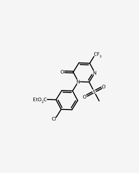 CCOC(=O)c1cc(-n2c(S(C)(=O)=O)nc(C(F)(F)F)cc2=O)ccc1Cl